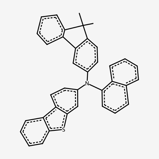 CC1(C)c2ccccc2-c2cc(N(c3ccc4c(c3)sc3ccccc34)c3cccc4ccccc34)ccc21